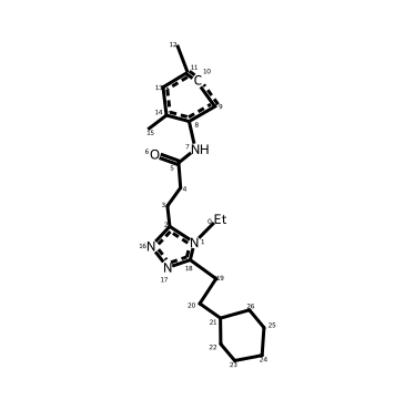 CCn1c(CCC(=O)Nc2ccc(C)cc2C)nnc1CCC1CCCCC1